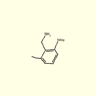 CNc1cccc(C)c1CN